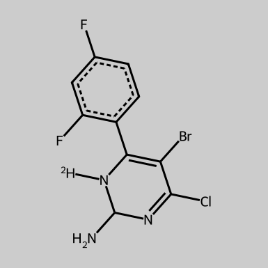 [2H]N1C(c2ccc(F)cc2F)=C(Br)C(Cl)=NC1N